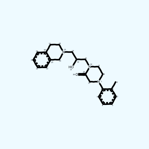 Cc1ccccc1N1CCN(CC(O)CN2CCc3ccccc3C2)C(=O)C1